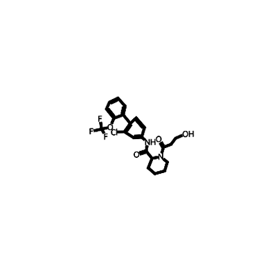 O=C(Nc1ccc(-c2ccccc2OC(F)(F)F)c(Cl)c1)C1CCCCN1C(=O)CCO